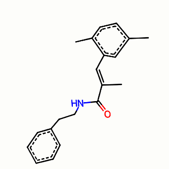 C/C(=C\c1cc(C)ccc1C)C(=O)NCCc1ccccc1